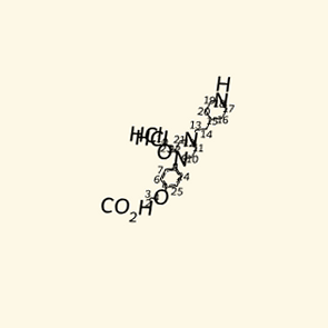 Cl.Cl.O=C(O)COc1ccc(N2CCN(CCC3CCNCC3)CC2=O)cc1